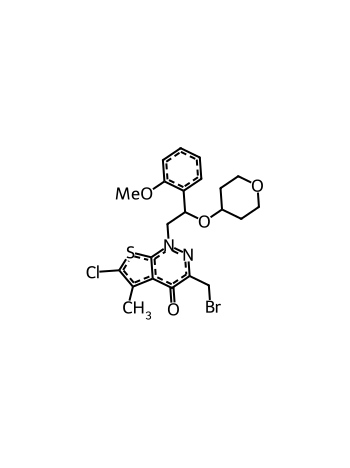 COc1ccccc1C(Cn1nc(CBr)c(=O)c2c(C)c(Cl)sc21)OC1CCOCC1